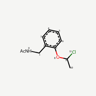 CC(=O)NCc1ccccc1OC(C)Cl